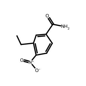 CCc1cc(C(N)=O)ccc1[N+](=O)[O-]